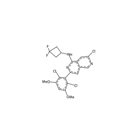 COc1cc(OC)c(Cl)c(-c2cc3cnc(Cl)cc3c(NC3CC(F)(F)C3)n2)c1Cl